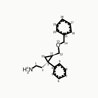 NCC[C@]1(c2ccccc2)C[C@H]1COCc1ccccc1